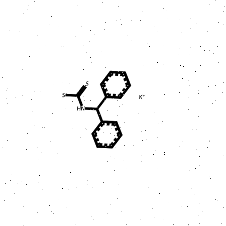 S=C([S-])NC(c1ccccc1)c1ccccc1.[K+]